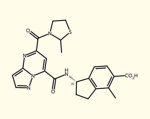 Cc1c(C(=O)O)ccc2c1CC[C@@H]2NC(=O)c1cc(C(=O)N2CCSC2C)nc2ccnn12